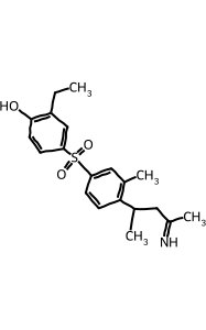 CCc1cc(S(=O)(=O)c2ccc(C(C)CC(C)=N)c(C)c2)ccc1O